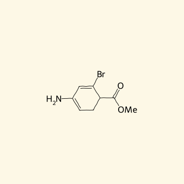 COC(=O)C1CC=C(N)C=C1Br